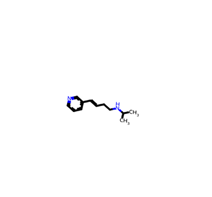 CC(C)NCCC=Cc1cccnc1